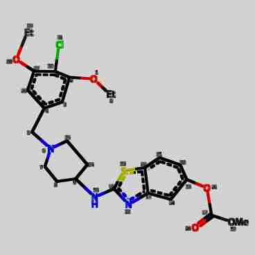 CCOc1cc(CN2CCC(Nc3nc4cc(OC(=O)OC)ccc4s3)CC2)cc(OCC)c1Cl